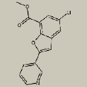 COC(=O)c1cc(Cl)cc2cc(-c3cccnc3)oc12